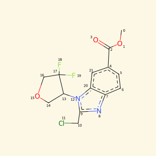 COC(=O)c1ccc2nc(CCl)n(C3COCC3(F)F)c2c1